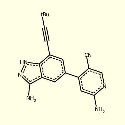 CC(C)(C)C#Cc1cc(-c2cc(N)ncc2C#N)cc2c(N)n[nH]c12